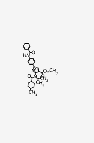 CCOC(=O)c1cn(-c2ccc(NC(=O)c3ccccc3)cc2)nc1N(C(=O)C1CCC(C)CC1)C(C)C